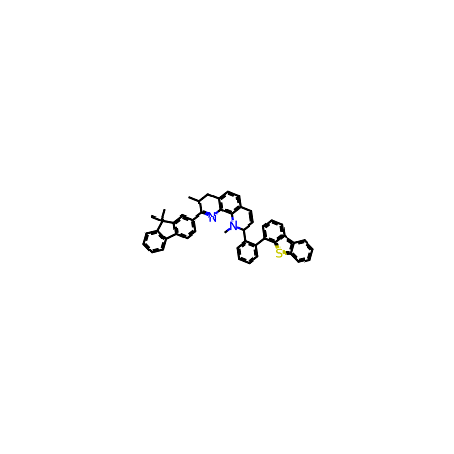 CC1Cc2ccc3c(c2N=C1c1ccc2c(c1)C(C)(C)c1ccccc1-2)N(C)C(c1ccccc1-c1cccc2c1sc1ccccc12)C=C3